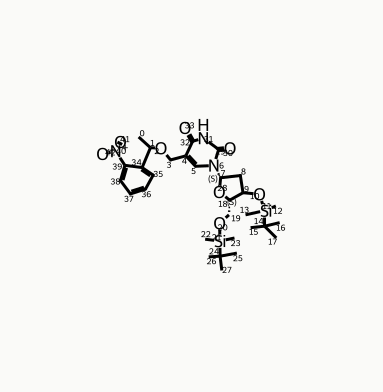 CC(OCc1cn([C@@H]2CC(O[Si](C)(C)C(C)(C)C)[C@H](CO[Si](C)(C)C(C)(C)C)O2)c(=O)[nH]c1=O)c1ccccc1[N+](=O)[O-]